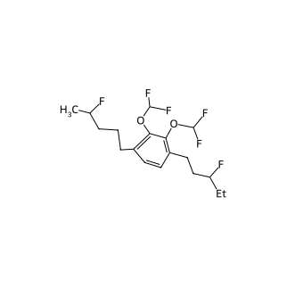 CCC(F)CCc1ccc(CCCC(C)F)c(OC(F)F)c1OC(F)F